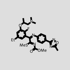 CCc1cc(OC(C)CN(C)C)c(F)c(C(=N/c2ccc(-c3noc(C)n3)cc2)/C(=N/C(=O)OC)SC)c1